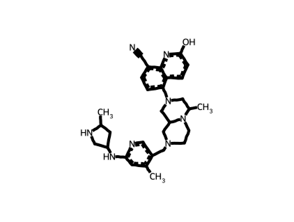 Cc1cc(NC2CNC(C)C2)ncc1CN1CCN2C(C)CN(c3ccc(C#N)c4nc(O)ccc34)CC2C1